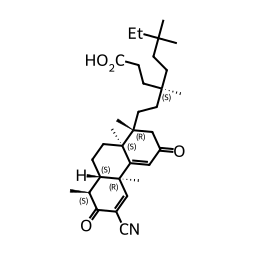 CCC(C)(C)CC[C@](C)(CCC(=O)O)CC[C@]1(C)CC(=O)C=C2[C@@]3(C)C=C(C#N)C(=O)[C@@H](C)[C@@H]3CC[C@]21C